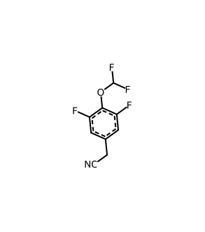 N#CCc1cc(F)c(OC(F)F)c(F)c1